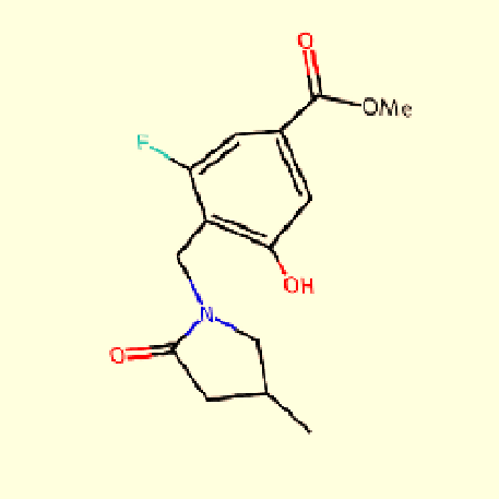 COC(=O)c1cc(O)c(CN2CC(C)CC2=O)c(F)c1